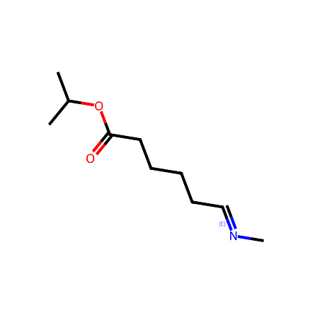 C/N=C/CCCCC(=O)OC(C)C